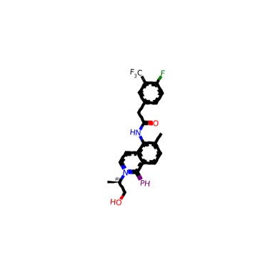 Cc1ccc2c(=P)n([C@H](C)CO)ccc2c1NC(=O)Cc1ccc(F)c(C(F)(F)F)c1